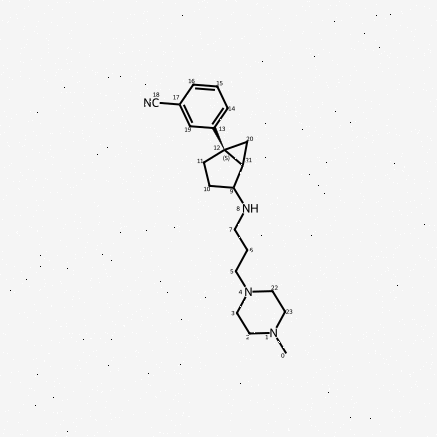 CN1CCN(CCCNC2CC[C@]3(c4cccc(C#N)c4)CC23)CC1